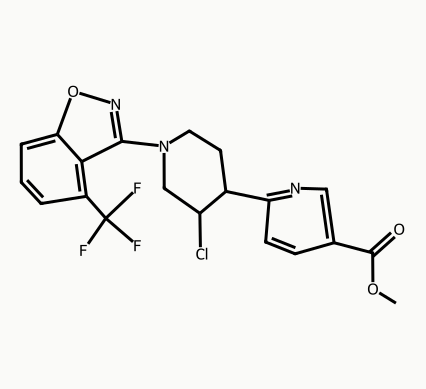 COC(=O)c1ccc(C2CCN(c3noc4cccc(C(F)(F)F)c34)CC2Cl)nc1